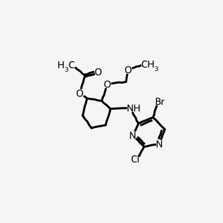 COCOC1C(Nc2nc(Cl)ncc2Br)CCCC1OC(C)=O